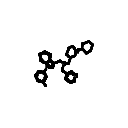 Cc1cccc(-n2cc(CN(Cc3cccnc3)CC3CCCN(C4CCCCC4)C3)c3ccccc32)c1